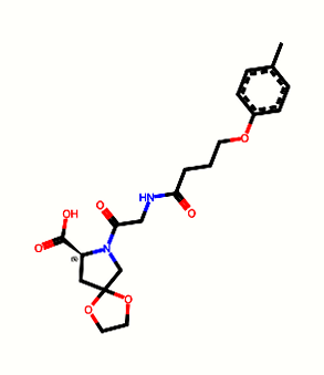 Cc1ccc(OCCCC(=O)NCC(=O)N2CC3(C[C@H]2C(=O)O)OCCO3)cc1